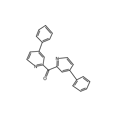 O=C(c1cc(-c2ccccc2)ccn1)c1cc(-c2ccccc2)ccn1